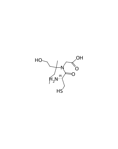 CCCC(C)(CCO)N(CC(=O)O)C(=O)[C@@H](N)CS